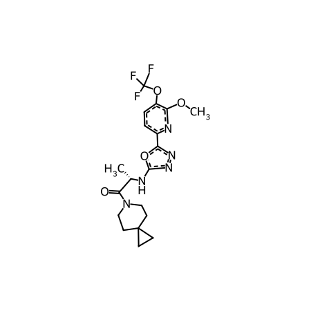 COc1nc(-c2nnc(N[C@@H](C)C(=O)N3CCC4(CC3)CC4)o2)ccc1OC(F)(F)F